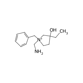 CCC1(O)CC[N+](CN)(Cc2ccccc2)C1